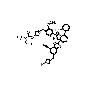 COc1cc(C(=O)NC2(c3nc4cc(CN5CC(F)C5)cc(C#N)c4o3)C=CC=C(c3ccccc3C)C2Cl)ncc1CN1CC(OC(=O)C(C)C)C1